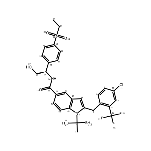 BC(B)(C)n1c(Cc2ccc(Cl)cc2C(F)(F)F)cc2cc(C(=O)N[C@@H](CO)c3ccc(S(=O)(=O)CC)cc3)ccc21